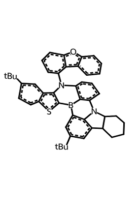 CC(C)(C)c1cc2c3c(c1)C1CCCCC1N3c1cccc3c1B2c1sc2ccc(C(C)(C)C)cc2c1N3c1cccc2oc3ccccc3c12